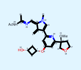 C=c1c(-c2cc(O[C@H]3C[C@@H](O)C3)cc([C@]3(OC)CCOC3)n2)cn(C)/c1=C/N=C(\C)NC(C)=O